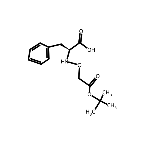 CC(C)(C)OC(=O)CON[C@@H](Cc1ccccc1)C(=O)O